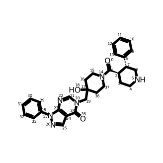 O=C([C@@H]1CCNC[C@H]1c1ccccc1)N1CCC(O)(Cn2cnc3c(cnn3-c3ccccc3)c2=O)CC1